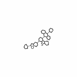 c1ccc(-c2cc3cc(-c4ccc(-c5c6ccccc6c(-c6ccccc6)c6ccccc56)c5c4sc4ccccc45)ccc3o2)cc1